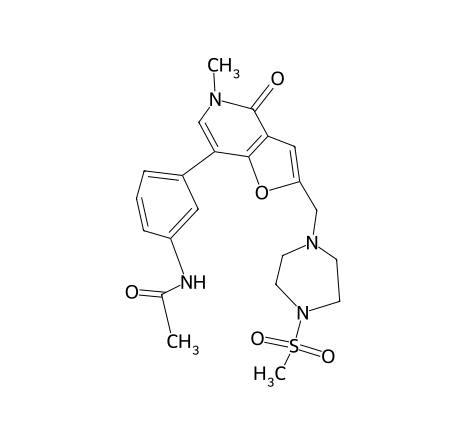 CC(=O)Nc1cccc(-c2cn(C)c(=O)c3cc(CN4CCN(S(C)(=O)=O)CC4)oc23)c1